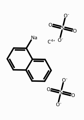 O=S(=O)([O-])[O-].O=S(=O)([O-])[O-].[C+4].[Na][c]1cccc2ccccc12